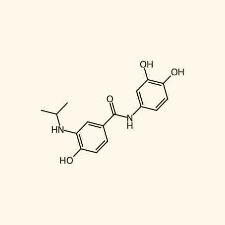 CC(C)Nc1cc(C(=O)Nc2ccc(O)c(O)c2)ccc1O